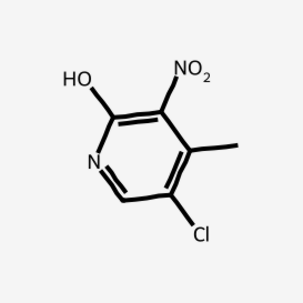 Cc1c(Cl)cnc(O)c1[N+](=O)[O-]